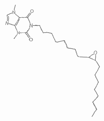 CCCCCCCCC1OC1CCCCCCCCn1c(=O)c2c(ncn2C)n(C)c1=O